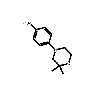 CC1(C)CN(c2ccc([N+](=O)[O-])cc2)CCO1